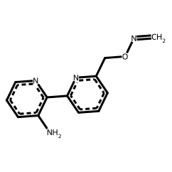 C=NOCc1cccc(-c2ncccc2N)n1